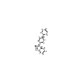 c1ccc(-[n+]2ccc(-c3noc4ccccc34)cc2)cc1